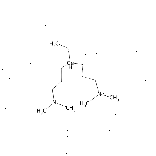 C[CH2][GeH]([CH2]CCN(C)C)[CH2]CCN(C)C